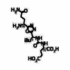 CC[C@H](C)C(NC(=O)N[C@@H](CCC(=O)O)C(=O)O)c1nnc([C@@H](N)CCC(N)=O)o1